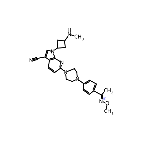 CNC1CC(n2cc(C#N)c3ccc(N4CCN(c5ccc(/C(C)=N/OC)cc5)CC4)nc32)C1